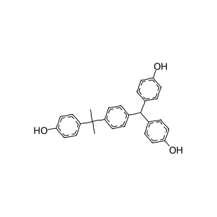 CC(C)(c1ccc(O)cc1)c1ccc(C(c2ccc(O)cc2)c2ccc(O)cc2)cc1